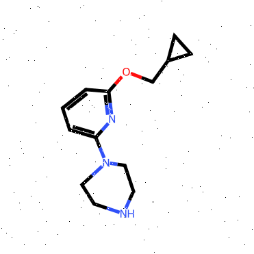 c1cc(OCC2CC2)nc(N2CCNCC2)c1